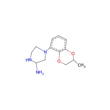 CC1COc2c(cccc2N2CCNC(N)C2)O1